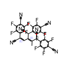 C/C(=C(\C=C(\C#N)c1c(F)c(F)c(C#N)c(F)c1F)C(C#N)c1c(F)c(F)c(C#N)c(F)c1F)C(C#N)c1c(F)c(F)c(C#N)c(F)c1F